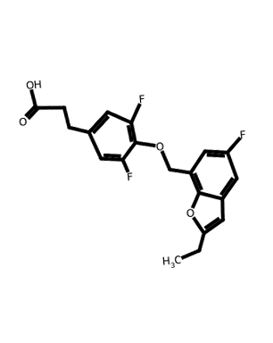 CCc1cc2cc(F)cc(COc3c(F)cc(CCC(=O)O)cc3F)c2o1